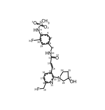 CS(=O)(=O)Nc1ccc(CNC(=O)/C=C/c2ccc(CF)nc2N2CCC(O)C2)cc1F